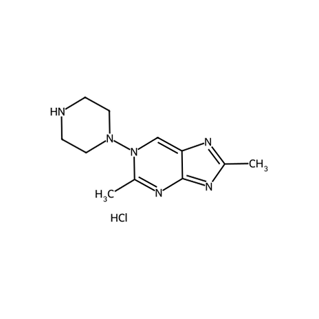 Cc1nc2cn(N3CCNCC3)c(C)nc-2n1.Cl